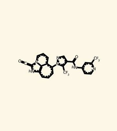 O=C=c1[nH]c2cccc(-n3ncc(C(=O)Nc4ccnc(C(F)(F)F)c4)c3C(F)(F)F)c3cccn1C=23